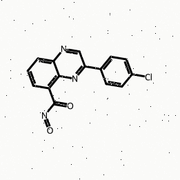 O=NC(=O)c1cccc2ncc(-c3ccc(Cl)cc3)nc12